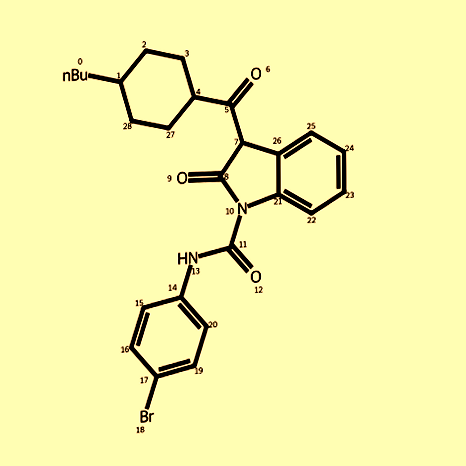 CCCCC1CCC(C(=O)C2C(=O)N(C(=O)Nc3ccc(Br)cc3)c3ccccc32)CC1